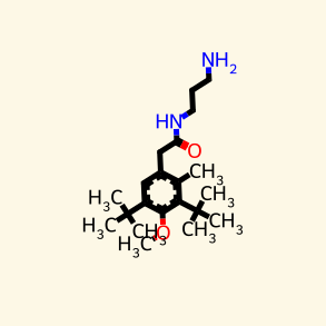 COc1c(C(C)(C)C)cc(CC(=O)NCCCN)c(C)c1C(C)(C)C